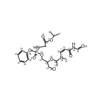 CC(C)OC(=O)CNP(=O)(OCC(CCl)OC(C)N(C)/C=C\C(=O)NC=O)Oc1ccccc1